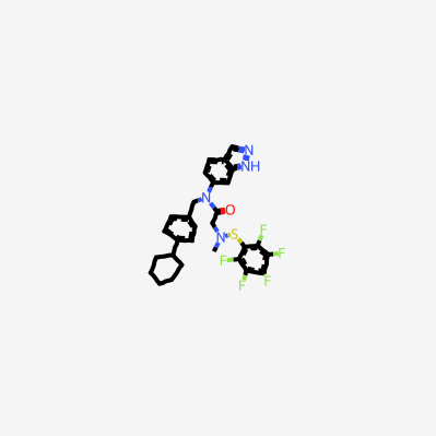 CN(CC(=O)N(Cc1ccc(C2CCCCC2)cc1)c1ccc2cn[nH]c2c1)Sc1c(F)c(F)c(F)c(F)c1F